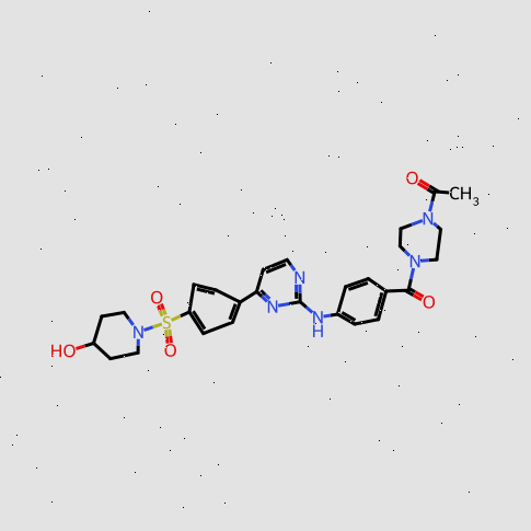 CC(=O)N1CCN(C(=O)c2ccc(Nc3nccc(-c4ccc(S(=O)(=O)N5CCC(O)CC5)cc4)n3)cc2)CC1